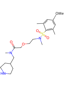 COc1cc(C)c(S(=O)(=O)N(C)CCOCC(=O)N(C)CC2CCNCC2)c(C)c1